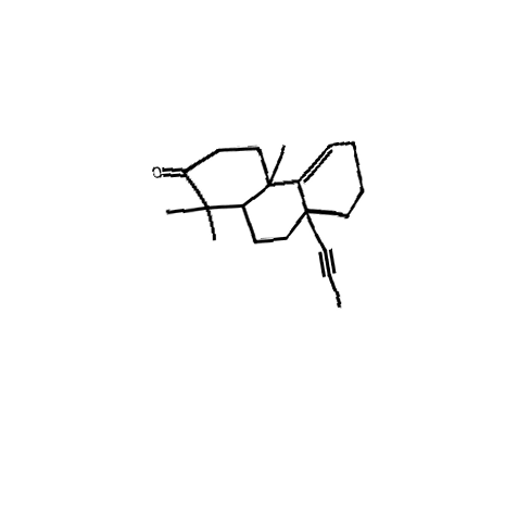 CC#CC12CCCC=C1C1(C)CCC(=O)C(C)(C)C1CC2